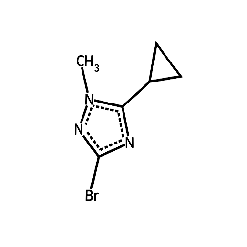 Cn1nc(Br)nc1C1CC1